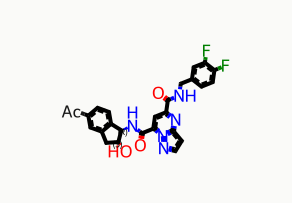 CC(=O)c1ccc2c(c1)C[C@H](O)[C@@H]2NC(=O)c1cc(C(=O)NCc2ccc(F)c(F)c2)nc2ccnn12